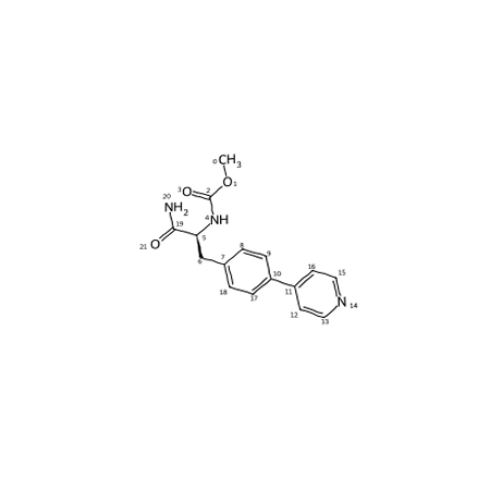 COC(=O)N[C@@H](Cc1ccc(-c2ccncc2)cc1)C(N)=O